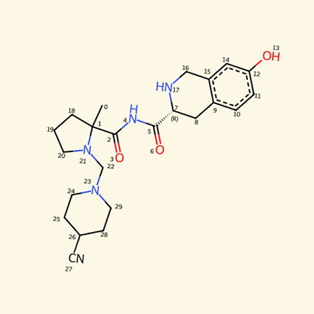 CC1(C(=O)NC(=O)[C@H]2Cc3ccc(O)cc3CN2)CCCN1CN1CCC(C#N)CC1